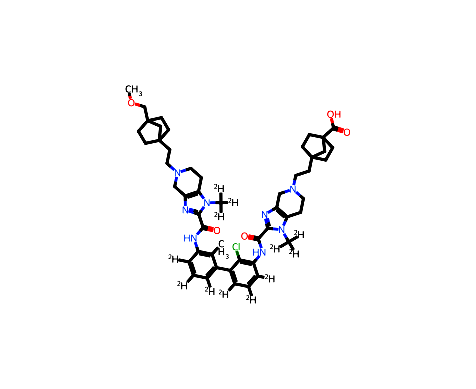 [2H]c1c([2H])c(NC(=O)c2nc3c(n2C([2H])([2H])[2H])CCN(CCC24CCC(COC)(CC2)C4)C3)c(C)c(-c2c([2H])c([2H])c([2H])c(NC(=O)c3nc4c(n3C([2H])([2H])[2H])CCN(CCC35CCC(C(=O)O)(CC3)C5)C4)c2Cl)c1[2H]